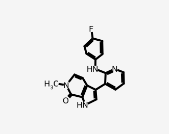 Cn1ccc2c(-c3cccnc3Nc3ccc(F)cc3)c[nH]c2c1=O